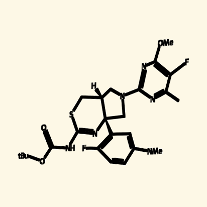 CNc1ccc(F)c([C@]23CN(c4nc(C)c(F)c(OC)n4)C[C@H]2CSC(NC(=O)OC(C)(C)C)=N3)c1